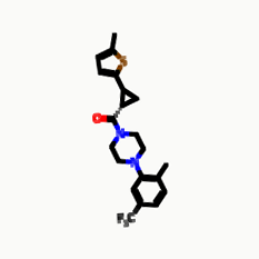 Cc1ccc(C2C[C@@H]2C(=O)N2CCN(c3cc(C(F)(F)F)ccc3C)CC2)s1